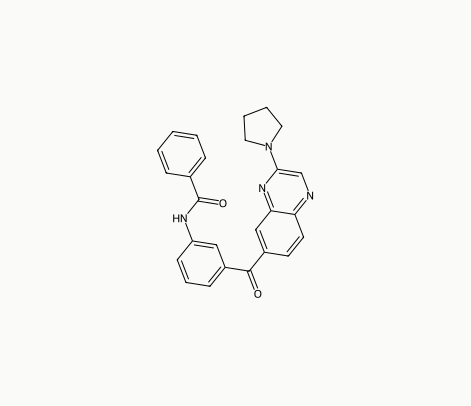 O=C(Nc1cccc(C(=O)c2ccc3ncc(N4CCCC4)nc3c2)c1)c1ccccc1